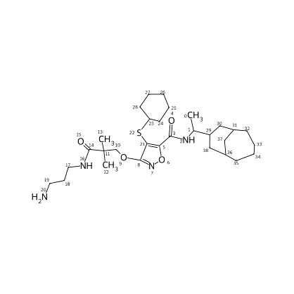 CC(NC(=O)c1onc(OCC(C)(C)C(=O)NCCCN)c1SC1CCCCC1)C1CC2CCCCC(C2)C1